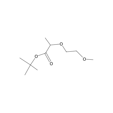 COCCOC(C)C(=O)OC(C)(C)C